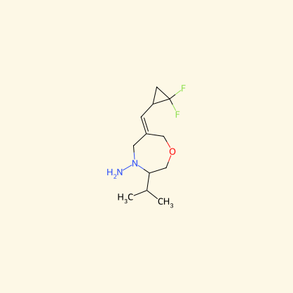 CC(C)C1COC/C(=C\C2CC2(F)F)CN1N